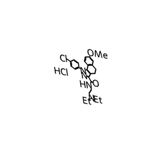 CCN(CC)CCNC(=O)c1nn(-c2ccc(Cl)cc2)c2c1CCc1cc(OC)ccc1-2.Cl